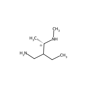 CCC(CN)[C@H](C)NC